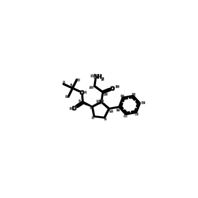 CC(C)(C)OC(=O)[C@@H]1CCC(c2ccccc2)N1C(=O)CN